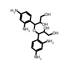 Nc1ccc(C(OC(c2ccc(N)cc2N)C(O)CO)C(O)CO)c(N)c1